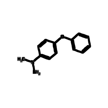 CN(N)c1ccc(Oc2ccccc2)cc1